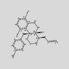 C=CC[C@H]1OCC[C@]2(Cc3ccc(Cl)cc3)c3c(F)ccc(F)c3OC[C@H]12